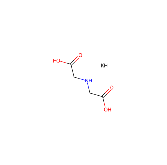 O=C(O)CNCC(=O)O.[KH]